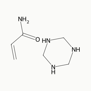 C1NCNCN1.C=CC(N)=O